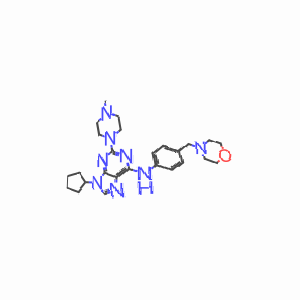 CN1CCN(c2nc(Nc3ccc(CN4CCOCC4)cc3)c3ncn(C4CCCC4)c3n2)CC1